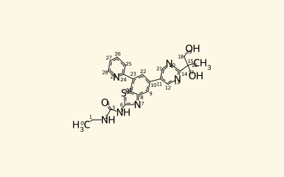 CCNC(=O)Nc1nc2cc(-c3cnc(C(C)(O)CO)nc3)cc(-c3ccccn3)c2s1